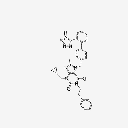 Cc1nc2c(c(=O)n(CCc3ccccc3)c(=O)n2CC2CC2)n1Cc1ccc(-c2ccccc2-c2nnn[nH]2)cc1